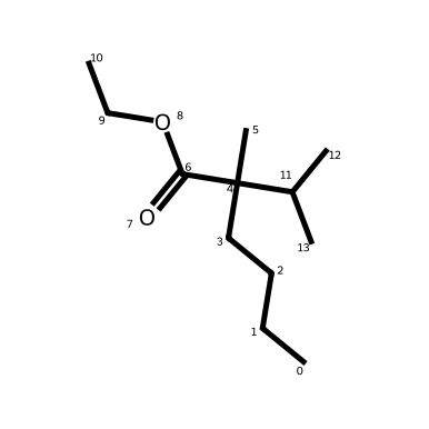 CCCCC(C)(C(=O)OCC)C(C)C